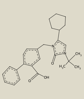 CC(C)(C)n1cc(C2CCCCC2)n(Cc2ccc(-c3ccccc3)c(C(=O)O)c2)c1=O